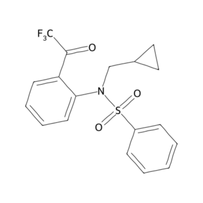 O=C(c1ccccc1N(CC1CC1)S(=O)(=O)c1ccccc1)C(F)(F)F